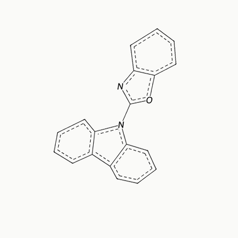 c1ccc2oc(-n3c4ccccc4c4ccccc43)nc2c1